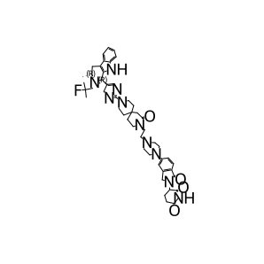 C[C@@H]1Cc2c([nH]c3ccccc23)[C@@H](c2cnc(N3CCC4(CCN(CCN5CCN(c6ccc7c(c6)CN(C6CCC(=O)NC6=O)C7=O)CC5)C(=O)C4)CC3)nc2)N1CC(C)(C)F